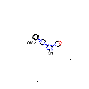 COc1ccccc1N1CCN(c2nc(C#N)nc(N3CCOCC3)n2)CC1